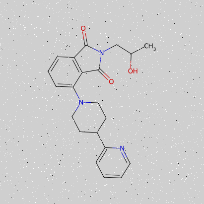 CC(O)CN1C(=O)c2cccc(N3CCC(c4ccccn4)CC3)c2C1=O